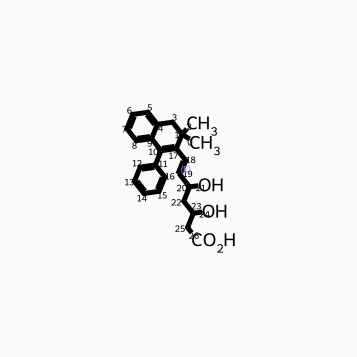 CC1(C)Cc2ccccc2C(c2ccccc2)=C1/C=C/C(O)CC(O)CC(=O)O